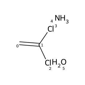 C=C(Cl)Cl.N.O